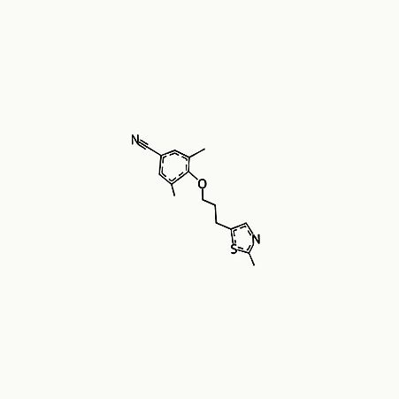 Cc1ncc(CCCOc2c(C)cc(C#N)cc2C)s1